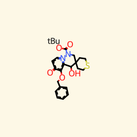 CC(C)(C)OC(=O)N1CC2(CCSCC2)C(O)c2c(OCc3ccccc3)c(=O)ccn21